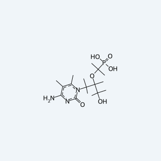 Cc1c(N)nc(=O)n(C(C)(C)C(C)(OC(C)(C)P(=O)(O)O)C(C)(C)O)c1C